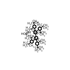 CC(C)(C)c1ccc(-c2ccc(-c3ccc(-c4ccc(C(C)(C)C)cc4C(C)(C)C)c(-c4ccc(C(C)(C)C)cc4C(C)(C)C)c3)cc2-c2ccc(C(C)(C)C)cc2C(C)(C)C)c(C(C)(C)C)c1.OP(O)O